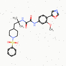 COc1cc(NC(=O)C(=O)NC(C)(C)CC2CCN(S(=O)(=O)c3ccccc3)CC2)ccc1-c1cnco1